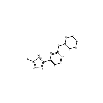 Cc1ncc(-c2c[c]cc(CN3CCOCC3)c2)[nH]1